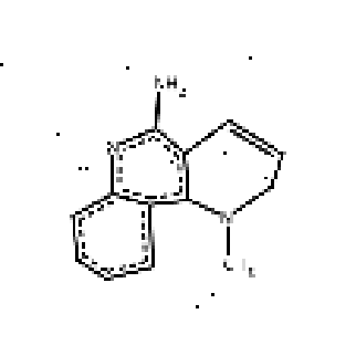 CN1CC=Cc2c(N)nc3ccccc3c21